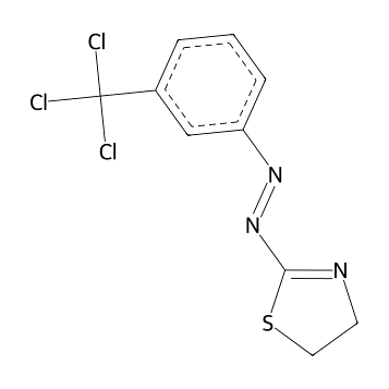 ClC(Cl)(Cl)c1cccc(N=NC2=NCCS2)c1